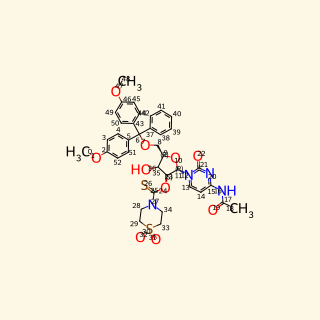 COc1ccc(C(OC[C@H]2O[C@@H](n3ccc(NC(C)=O)nc3=O)[C@@H](OC(=S)N3CCS(=O)(=O)CC3)C2O)(c2ccccc2)c2ccc(OC)cc2)cc1